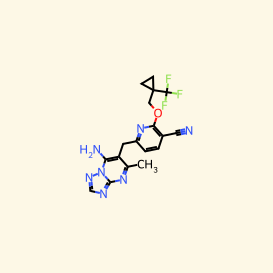 Cc1nc2ncnn2c(N)c1Cc1ccc(C#N)c(OCC2(C(F)(F)F)CC2)n1